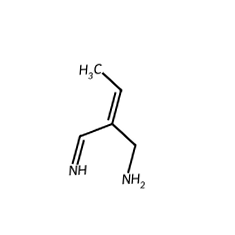 C/C=C(\C=N)CN